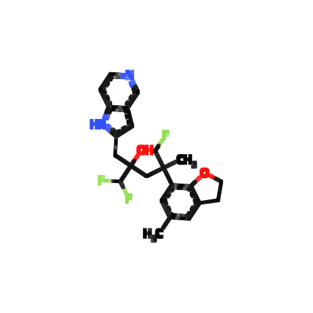 Cc1cc2c(c(C(C)(CF)CC(O)(Cc3cc4cnccc4[nH]3)C(F)F)c1)OCC2